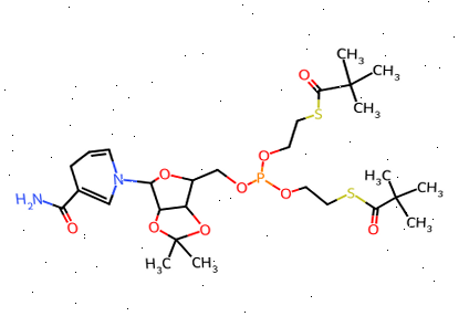 CC1(C)OC2C(COP(OCCSC(=O)C(C)(C)C)OCCSC(=O)C(C)(C)C)OC(N3C=CCC(C(N)=O)=C3)C2O1